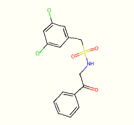 O=C(CNS(=O)(=O)Cc1cc(Cl)cc(Cl)c1)c1ccccc1